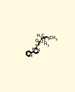 CSCC(C)(C)COC(=O)CSc1nccc(-c2ccccn2)n1